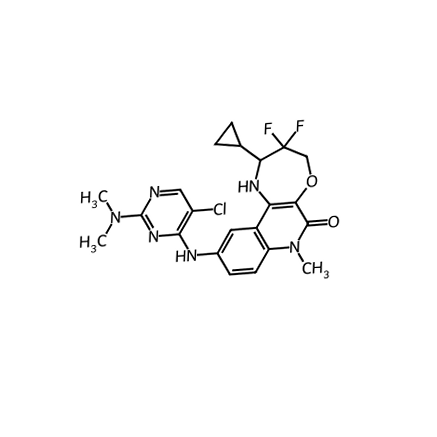 CN(C)c1ncc(Cl)c(Nc2ccc3c(c2)c2c(c(=O)n3C)OCC(F)(F)C(C3CC3)N2)n1